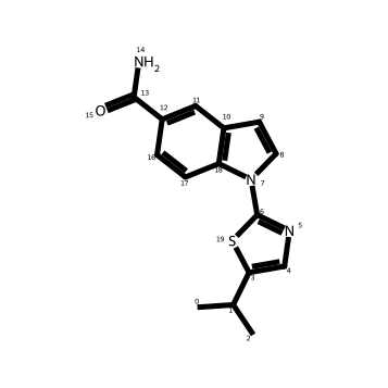 CC(C)c1cnc(-n2ccc3cc(C(N)=O)ccc32)s1